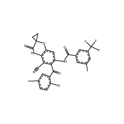 N#Cc1c2c(cc(NC(=O)c3cc(F)cc(C(F)(F)F)c3)c1C(=O)c1cc(F)ccc1Cl)OC1(CC1)C(=O)N2